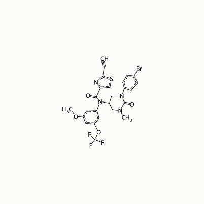 C#Cc1nc(C(=O)N(c2cc(OC)cc(OC(F)(F)F)c2)C2CN(C)C(=O)N(c3ccc(Br)cc3)C2)cs1